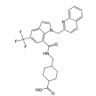 O=C(NCC1CCC(C(=O)O)CC1)c1cc(C(F)(F)F)cc2ccn(Cc3ccc4ccccc4n3)c12